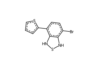 Brc1ccc(-c2cccs2)c2c1NSN2